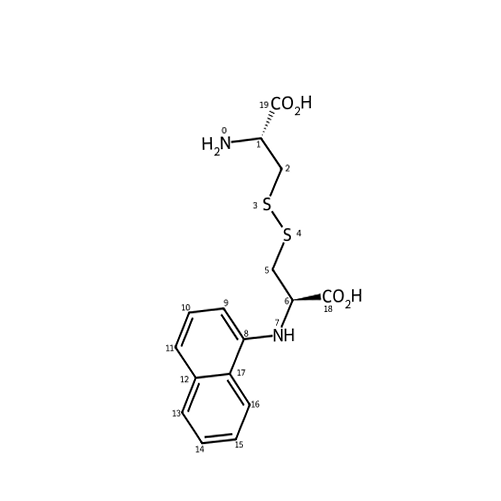 N[C@@H](CSSC[C@H](Nc1cccc2ccccc12)C(=O)O)C(=O)O